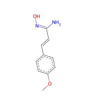 COc1ccc(C=CC(N)=NO)cc1